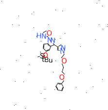 CC(C)(C)[Si](C)(C)Oc1ccc2c(c1)c(-c1cnn(CCOCCCCOCc3ccccc3)c1)nn2C1NCCO1